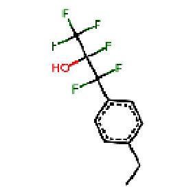 CCc1ccc(C(F)(F)C(O)(F)C(F)(F)F)cc1